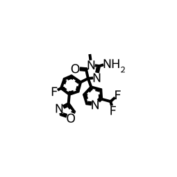 CN1C(=O)C(c2ccnc(C(F)F)c2)(c2ccc(F)c(-c3cocn3)c2)N=C1N